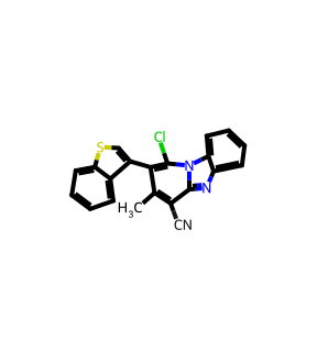 Cc1c(-c2csc3ccccc23)c(Cl)n2c(nc3ccccc32)c1C#N